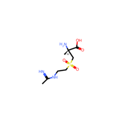 CC(=N)NCCS(=O)(=O)C[C@](C)(N)C(=O)O